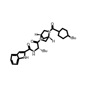 CC(C)(C)C1CCC(C(=O)N2C[C@@H]3C[C@H]2CN3C(=O)[C@@H](NC(=O)c2cc3ccccc3[nH]2)C(C)(C)C)CC1